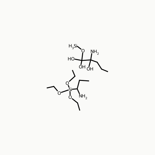 CCCC(N)(O)C(O)(O)O[SiH3].CCO[Si](OCC)(OCC)C(N)CC